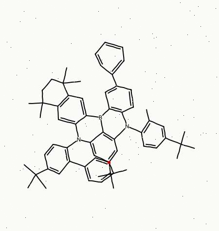 Cc1cc(C(C)(C)C)ccc1N1c2ccc(-c3ccccc3)cc2B2c3cc4c(cc3N(c3ccc(C(C)(C)C)cc3-c3ccccc3)c3cc(C(C)(C)C)cc1c32)C(C)(C)CCC4(C)C